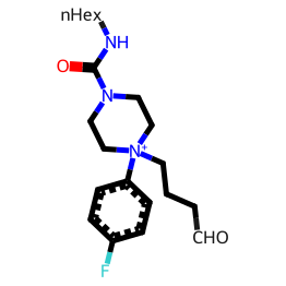 CCCCCCNC(=O)N1CC[N+](CCCC=O)(c2ccc(F)cc2)CC1